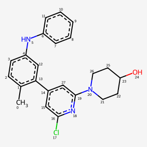 Cc1ccc(Nc2ccccc2)cc1-c1cc(Cl)nc(N2CCC(O)CC2)c1